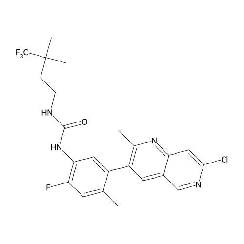 Cc1cc(F)c(NC(=O)NCCC(C)(C)C(F)(F)F)cc1-c1cc2cnc(Cl)cc2nc1C